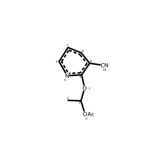 CC(=O)OC(C)Oc1ncccc1C#N